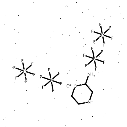 F[P-](F)(F)(F)(F)F.F[P-](F)(F)(F)(F)F.F[P-](F)(F)(F)(F)F.F[P-](F)(F)(F)(F)F.NC1CNCCO1.[C+4]